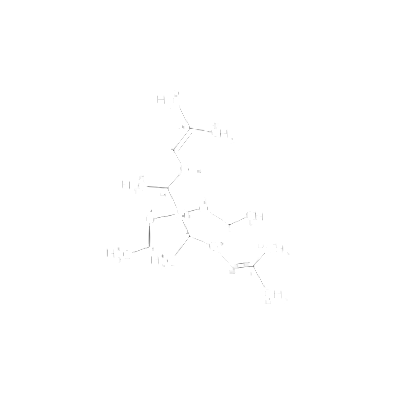 CCO[Si](OCC)(C(C)OC=C(C)C)C(C)OC=C(C)C